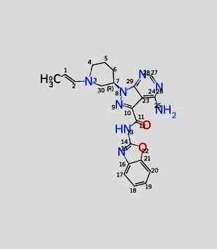 CC=CN1CCC[C@@H](n2nc(C(=O)Nc3nc4ccccc4o3)c3c(N)ncnc32)C1